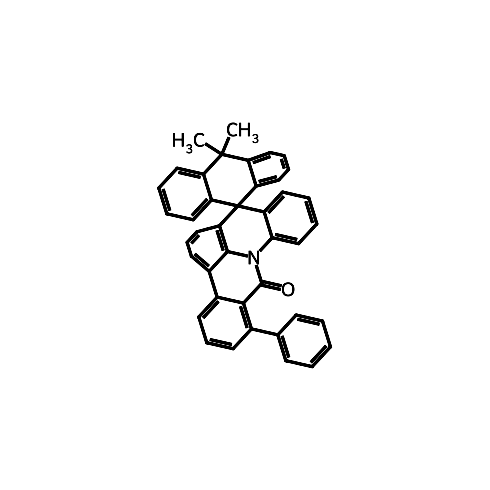 CC1(C)c2ccccc2C2(c3ccccc3-n3c(=O)c4c(-c5ccccc5)cccc4c4cccc2c43)c2ccccc21